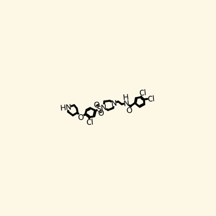 O=C(NCCN1CCN(S(=O)(=O)c2ccc(OC3CCNCC3)c(Cl)c2)CC1)c1ccc(Cl)c(Cl)c1